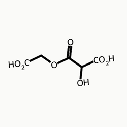 O=C(O)COC(=O)C(O)C(=O)O